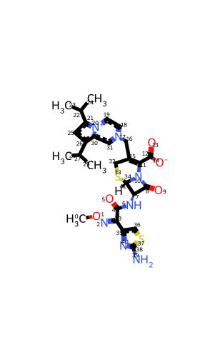 CO/N=C(\C(=O)N[C@@H]1C(=O)N2C(C(=O)[O-])=C(Cn3cc[n+]4c(C(C)C)cc(C(C)C)c-4c3)CS[C@@H]12)c1csc(N)n1